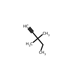 C#CC(C)(C)CC